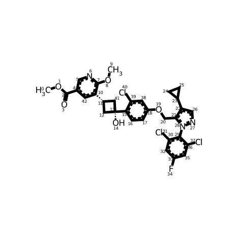 COC(=O)c1cnc(OC)c([C@H]2C[C@](O)(c3ccc(OCc4c(C5CC5)cnn4-c4c(Cl)cc(F)cc4Cl)cc3Cl)C2)c1